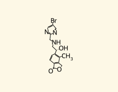 Cc1c([C@@H](O)CNCc2ncc(Br)cn2)ccc2c1COC2=O